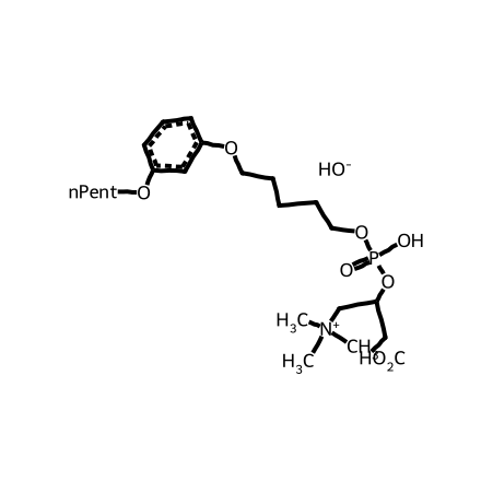 CCCCCOc1cccc(OCCCCCOP(=O)(O)OC(CC(=O)O)C[N+](C)(C)C)c1.[OH-]